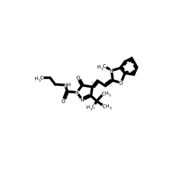 CCCNC(=O)N1N=C(C(C)(C)C)/C(=C\C=C2\Oc3ccccc3N2C)C1=O